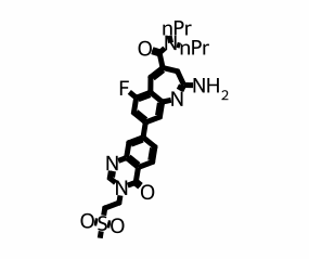 CCCN(CCC)C(=O)C1=Cc2c(F)cc(-c3ccc4c(=O)n(CCS(C)(=O)=O)cnc4c3)cc2N=C(N)C1